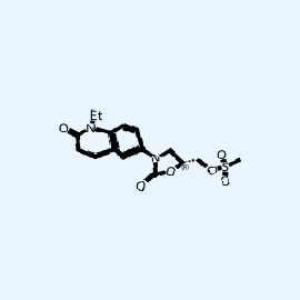 CCN1C(=O)CCc2cc(N3C[C@H](COS(C)(=O)=O)OC3=O)ccc21